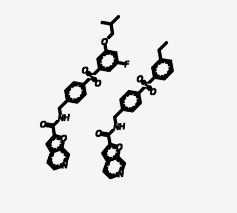 CC(C)COc1cc(F)cc(S(=O)(=O)c2ccc(CNC(=O)c3cc4ccncc4o3)cc2)c1.CCc1cccc(S(=O)(=O)c2ccc(CNC(=O)c3cc4ccncc4o3)cc2)c1